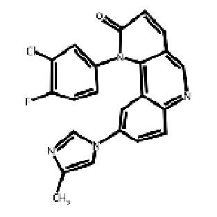 Cc1cn(-c2ccc3ncc4ccc(=O)n(-c5ccc(F)c(Cl)c5)c4c3c2)cn1